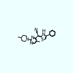 Cc1cnc(N2CCC(C)CC2)nc1C(C#N)=C1NC(c2ccccc2)=CS1